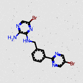 Nc1ncc(Br)nc1NCc1cccc(-c2ncc(Br)cn2)c1